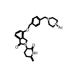 C=C1CCC(N2Cc3c(OCc4ccc(CN5CCN(C(C)=O)CC5)cc4)cccc3C2=O)C(=O)N1